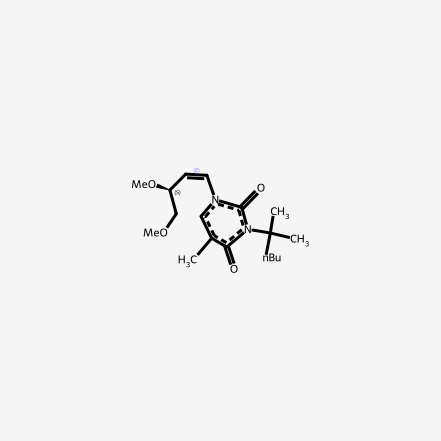 CCCCC(C)(C)n1c(=O)c(C)cn(/C=C\[C@@H](COC)OC)c1=O